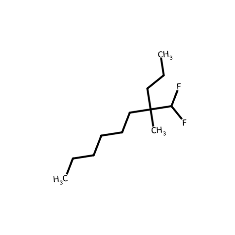 CCCCCCC(C)(CCC)C(F)F